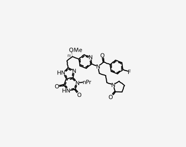 CCCn1c(=O)[nH]c(=O)c2[nH]c(C[C@H](OC)c3ccc(N(CCCN4CCCC4=O)C(=O)c4ccc(F)cc4)nc3)nc21